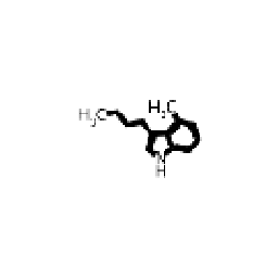 CCCCc1c[nH]c2cccc(C)c12